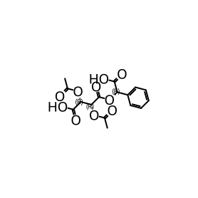 CC(=O)O[C@@H](C(=O)O)[C@@H](OC(C)=O)C(=O)O[C@@H](C(=O)O)c1ccccc1